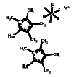 Cc1c(C)c(C)[c-](C)c1C.Cc1c(C)c(C)[c-](C)c1C.F[P-](F)(F)(F)(F)F.[Fe+2]